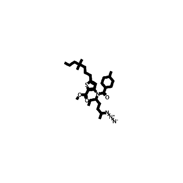 CCCC(C)(C)CCCc1cc(N(C(=O)C2CCC(C)CC2)C(CC)CCC(C)N=[N+]=[N-])c(C(=O)OC)s1